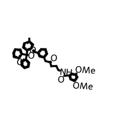 COc1cc(OC)cc(C(=O)NCCCC(=O)Cc2cccc(C(=O)OC(c3ccccc3)(c3ccc(C)cc3)c3ccccc3Cl)c2)c1